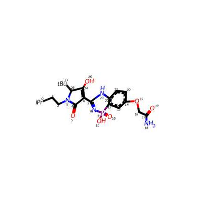 CC(C)CCN1C(=O)C(C2=NP(=O)(O)c3cc(OCC(N)=O)ccc3N2)=C(O)C1C(C)(C)C